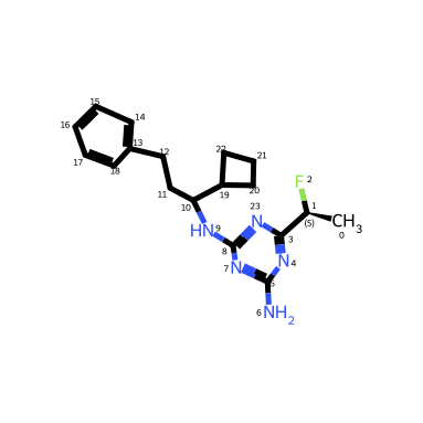 C[C@H](F)c1nc(N)nc(NC(CCc2ccccc2)C2CCC2)n1